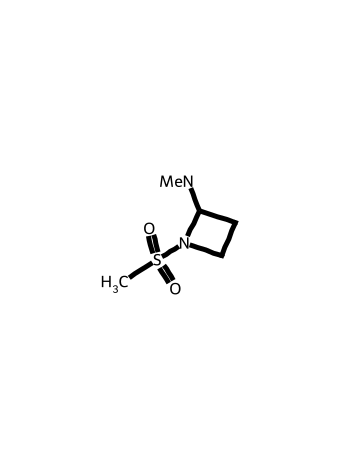 CNC1CCN1S(C)(=O)=O